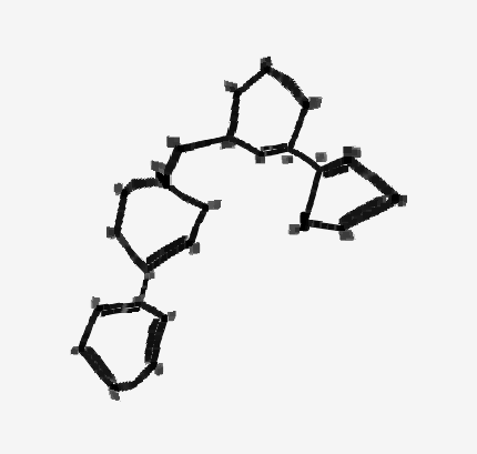 C1=C(c2ccccc2)CCN(CC2C=C(c3cccs3)CCC2)C1